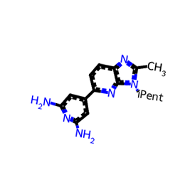 CCCC(C)n1c(C)nc2ccc(-c3cc(N)nc(N)c3)nc21